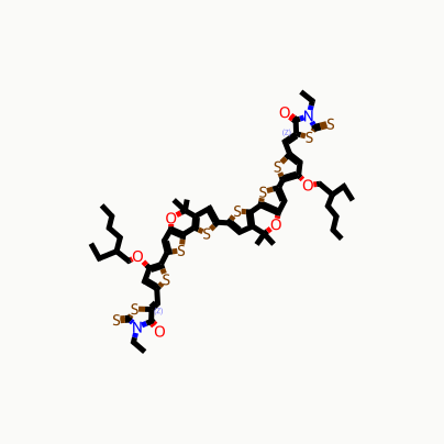 CCCCC(CC)COc1cc(/C=C2\SC(=S)N(CC)C2=O)sc1-c1cc2c(s1)-c1sc(-c3cc4c(s3)-c3sc(-c5sc(/C=C6\SC(=S)N(CC)C6=O)cc5OCC(CC)CCCC)cc3OC4(C)C)cc1C(C)(C)O2